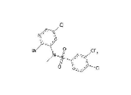 CN(c1cc(Cl)cnc1Br)S(=O)(=O)c1ccc(Cl)c(C(F)(F)F)c1